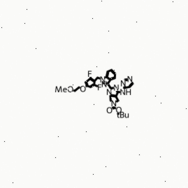 COCCOc1cc(F)c(Cn2nc(-c3nc4c(c(Nc5ccncn5)n3)CN(C(=O)OC(C)(C)C)C4)c3ccccc32)c(F)c1